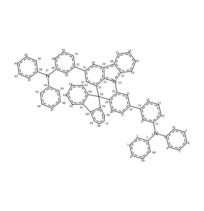 c1ccc(N(c2ccccc2)c2cccc(-c3ccc4c(c3)-n3c5ccccc5c5cc(-c6cccc(N(c7ccccc7)c7ccccc7)c6)cc(c53)C43c4ccccc4-c4ccccc43)c2)cc1